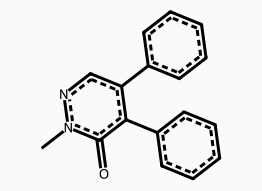 Cn1ncc(-c2ccccc2)c(-c2ccccc2)c1=O